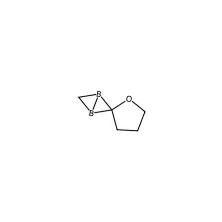 C1COC2(C1)B1CB12